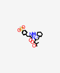 CC1(C(=O)[C@H](CC2=CCCCC2)NC(=O)[C@@H](N)Cc2ccc(S(C)(=O)=O)cc2)CO1